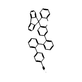 N#Cc1ccc(-c2ccccc2-c2ccccc2-c2ccc3c(c2)Oc2ccccc2C32c3ccccc3-c3ccccc32)cc1